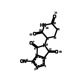 O=Nc1scc2c1C(=O)N(C1CCC(=O)NC1=O)C2=O